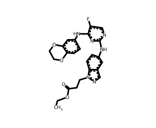 CCOC(=O)CCn1ncc2cc(Nc3ncc(F)c(Nc4ccc5c(c4)OCCO5)n3)ccc21